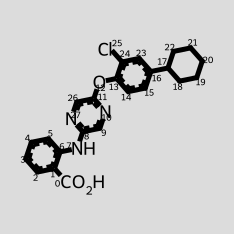 O=C(O)c1ccccc1Nc1cnc(Oc2ccc(C3CCCCC3)cc2Cl)cn1